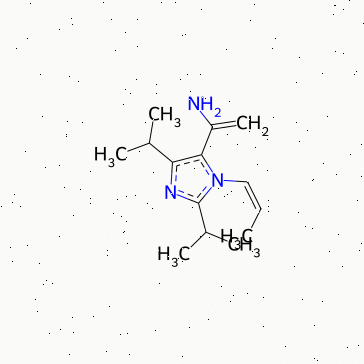 C=C(N)c1c(C(C)C)nc(C(C)C)n1/C=C\C